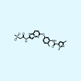 Cc1cc(C(=O)Nc2cc(Oc3ccc4nc(NC(=O)CS(C)(=O)=O)cn4n3)ccc2C)n(C)n1